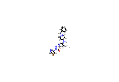 CN(c1cnc([S+]([O-])Nc2cscn2)cc1C(F)(F)F)C1CCN(Cc2ccccc2)CC1